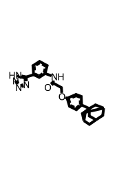 O=C(COc1ccc(C23CC4CC(CC(C4)C2)C3)cc1)Nc1cccc(-c2nnn[nH]2)c1